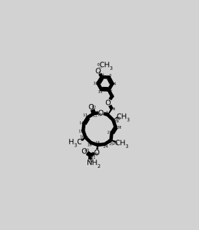 COc1ccc(COC[C@@H]2OC(=O)/C=C\C[C@H](C)C[C@H](OC(N)=O)C[C@H](C)/C=C/[C@H]2C)cc1